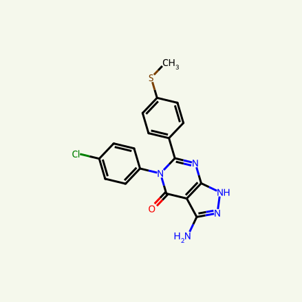 CSc1ccc(-c2nc3[nH]nc(N)c3c(=O)n2-c2ccc(Cl)cc2)cc1